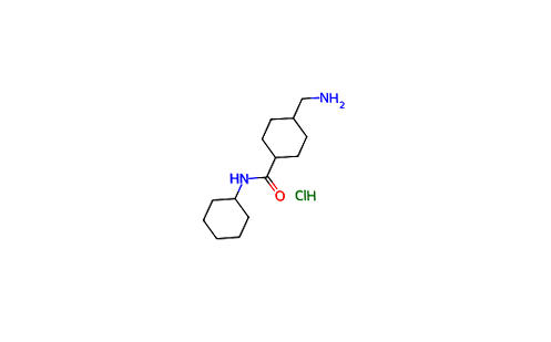 Cl.NCC1CCC(C(=O)NC2CCCCC2)CC1